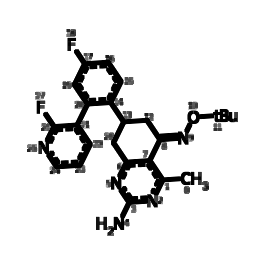 Cc1nc(N)nc2c1C(=NOC(C)(C)C)CC(c1ccc(F)cc1-c1cccnc1F)C2